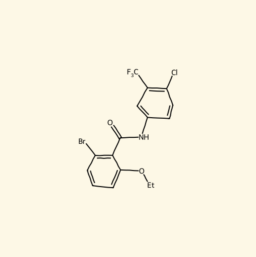 CCOc1cccc(Br)c1C(=O)Nc1ccc(Cl)c(C(F)(F)F)c1